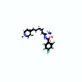 C=N/C(=C\C=C/CC=C1CCN(C)CC1)NC(=O)c1ccc(F)cc1F